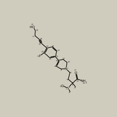 C[S+]([O-])C(C)(CCN1CC=C(c2ccc(C#CCCO)c(F)c2)CC1)C(N)=O